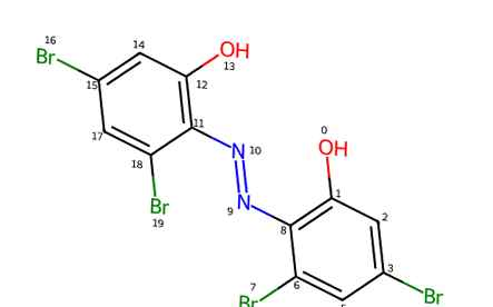 Oc1cc(Br)cc(Br)c1/N=N/c1c(O)cc(Br)cc1Br